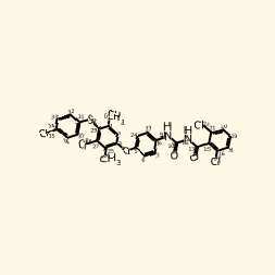 Cc1cc(Oc2ccc(NC(=O)NC(=O)c3c(Cl)cccc3Cl)cc2)c(C)c(Cl)c1Sc1ccc(Cl)cc1